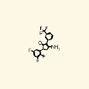 NC1=C(c2cccc(C(F)(F)F)c2)C(=O)C(c2cc(F)cc(F)c2F)C1